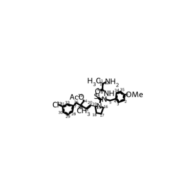 COc1ccc(CN(NC(=O)[C@H](C)N)C(=S)N2CCC[C@H]2/C=C/[C@](C)(COC(C)=O)Cc2cccc(Cl)c2)cc1